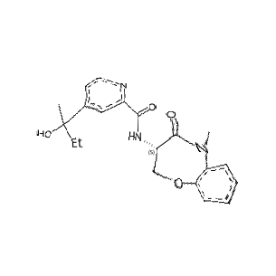 CCC(C)(O)c1ccnc(C(=O)N[C@H]2COc3ccccc3N(C)C2=O)c1